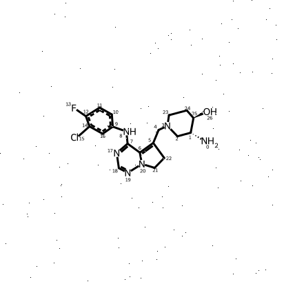 N[C@@H]1CN(CC2=C3C(Nc4ccc(F)c(Cl)c4)=NC=NN3CC2)CC[C@H]1O